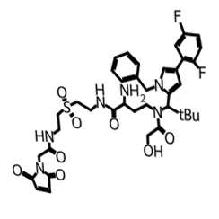 CC(C)(C)C(c1cc(-c2cc(F)ccc2F)cn1Cc1ccccc1)N(CCC(N)C(=O)NCCS(=O)(=O)CCNC(=O)CN1C(=O)C=CC1=O)C(=O)CO